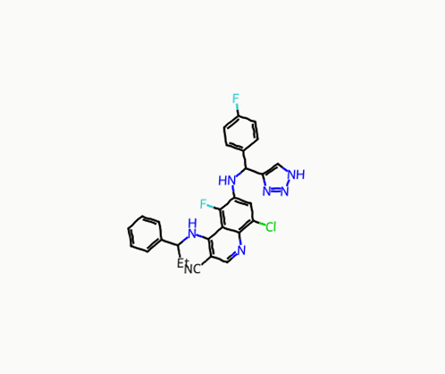 CCC(Nc1c(C#N)cnc2c(Cl)cc(NC(c3ccc(F)cc3)c3c[nH]nn3)c(F)c12)c1ccccc1